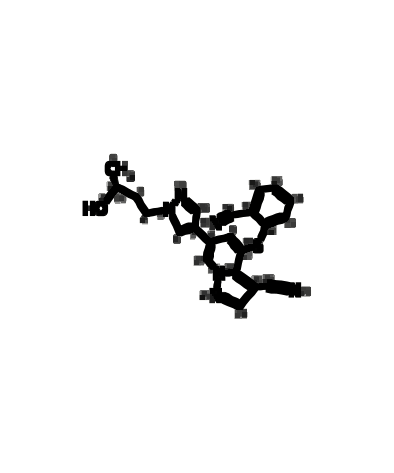 C[C@H](O)CCn1cc(-c2cc(Sc3ccccc3C#N)c3c(C#N)cnn3c2)cn1